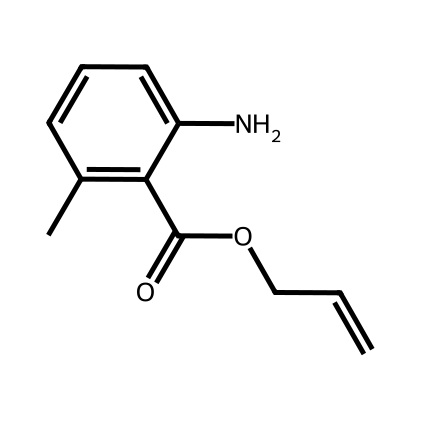 C=CCOC(=O)c1c(C)cccc1N